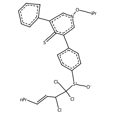 CCCC=CC(Cl)C(Cl)(Cl)[S+]([O-])c1ccc(-c2cn(OC(C)C)cc(-c3ccccc3)c2=S)cc1